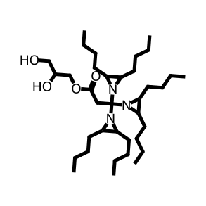 CCCCC1C(CCCC)N1C(CC(=O)OCC(O)CO)(N1C(CCCC)C1CCCC)N1C(CCCC)C1CCCC